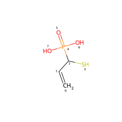 C=CC(S)P(=O)(O)O